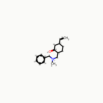 C=CC1CCC(CN(C)Cc2ccccc2)C(=O)C1